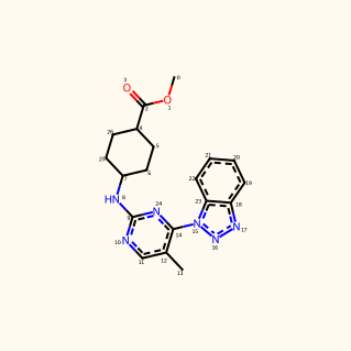 COC(=O)C1CCC(Nc2ncc(C)c(-n3nnc4ccccc43)n2)CC1